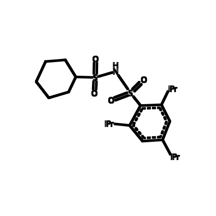 CC(C)c1cc(C(C)C)c(S(=O)(=O)NS(=O)(=O)C2CCCCC2)c(C(C)C)c1